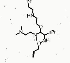 C=CCONC(CCC)C(NCCN(C)C)OCCNCCN(C)C